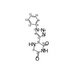 O=C1CNC(c2cn(-c3ccccc3)nn2)C(=O)N1